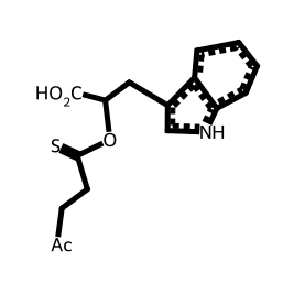 CC(=O)CCC(=S)OC(Cc1c[nH]c2ccccc12)C(=O)O